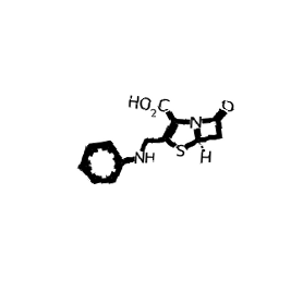 O=C(O)C1=C(CNc2ccccc2)S[C@@H]2CC(=O)N12